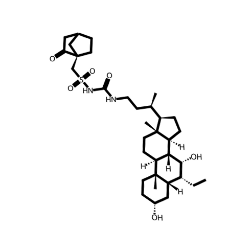 CC[C@H]1[C@@H](O)[C@@H]2[C@H](CC[C@]3(C)[C@@H]([C@H](C)CCNC(=O)NS(=O)(=O)C[C@@]45CCC(CC4=O)C5)CC[C@@H]23)[C@@]2(C)CC[C@@H](O)C[C@@H]12